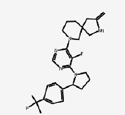 C=C1CC2(CCCN(c3ncnc(N4CCCC4c4ccc(C(C)(C)F)cc4)c3F)C2)CN1